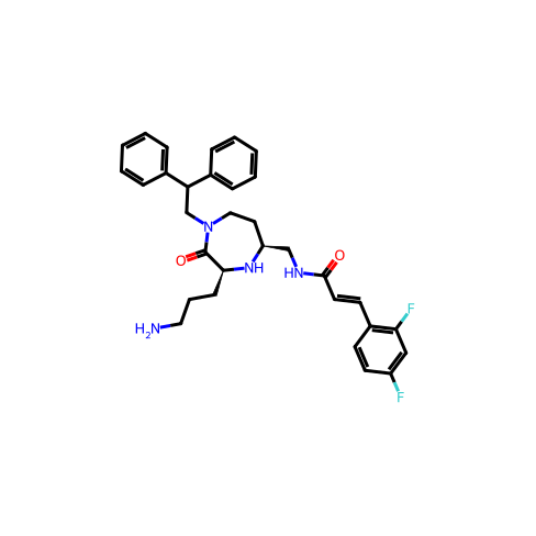 NCCC[C@@H]1N[C@H](CNC(=O)/C=C/c2ccc(F)cc2F)CCN(CC(c2ccccc2)c2ccccc2)C1=O